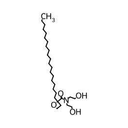 CCCCCCCCCCCCCCCCCCCCC1(C(=O)N(CCO)CCO)CCO1